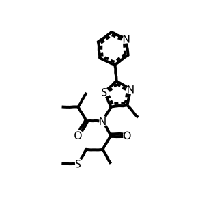 CSCC(C)C(=O)N(C(=O)C(C)C)c1sc(-c2cccnc2)nc1C